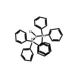 ClN([PH](c1ccccc1)(c1ccccc1)c1ccccc1)[PH](c1ccccc1)(c1ccccc1)c1ccccc1